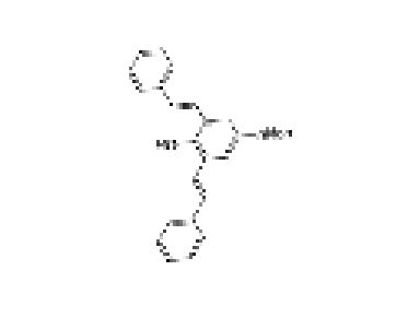 CCCCCCCCCc1cc(/C=C/c2ccccc2)c(O)c(/C=C/c2ccccc2)c1